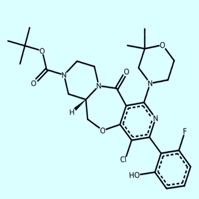 CC(C)(C)OC(=O)N1CCN2C(=O)c3c(N4CCOC(C)(C)C4)nc(-c4c(O)cccc4F)c(Cl)c3OC[C@@H]2C1